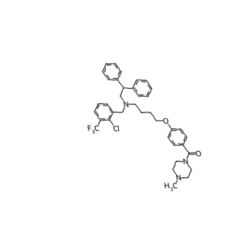 CN1CCN(C(=O)c2ccc(OCCCCN(Cc3cccc(C(F)(F)F)c3Cl)CC(c3ccccc3)c3ccccc3)cc2)CC1